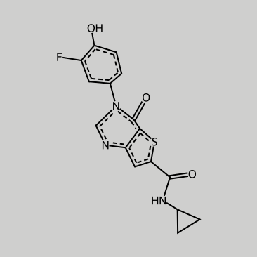 O=C(NC1CC1)c1cc2ncn(-c3ccc(O)c(F)c3)c(=O)c2s1